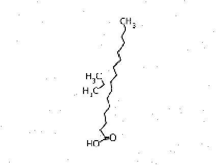 CCC.CCCCCCCCCCCCCCCC(=O)O